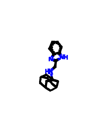 c1ccc2[nH]c(CNC34CC5CC(CC(C5)C3)C4)nc2c1